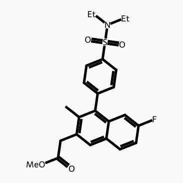 CCN(CC)S(=O)(=O)c1ccc(-c2c(C)c(CC(=O)OC)cc3ccc(F)cc23)cc1